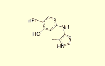 CCCc1ccc(Nc2cc[nH]c2C)cc1O